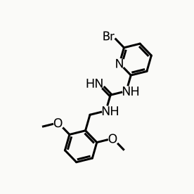 COc1cccc(OC)c1CNC(=N)Nc1cccc(Br)n1